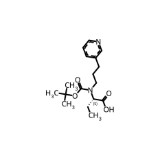 CC[C@@H](C(=O)O)N(CCCc1cccnc1)C(=O)OC(C)(C)C